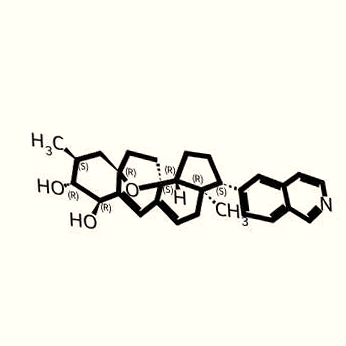 C[C@H]1C[C@@]23CC[C@@]4(O2)C(=CC[C@]2(C)[C@@H](c5ccc6cnccc6c5)CC[C@H]24)C=C3[C@@H](O)[C@@H]1O